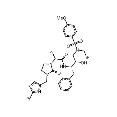 COc1ccc(S(=O)(=O)N(CC(C)C)C[C@H](O)[C@H](Cc2ccccc2)NC(=O)[C@H](C(C)C)N2CCN(Cc3csc(C(C)C)n3)C2=O)cc1